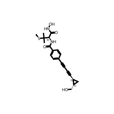 CSC(C)(C)[C@H](NC(=O)c1ccc(C#CC#C[C@H]2C[C@@H]2CO)cc1)C(=O)NO